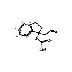 C=CCC1(NC(=O)O)CCc2ccccc21